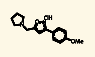 COc1ccc(-c2cc(CN3CCCC3)on2)cc1.Cl